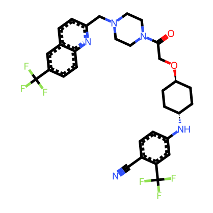 N#Cc1ccc(N[C@H]2CC[C@H](OCC(=O)N3CCN(Cc4ccc5cc(C(F)(F)F)ccc5n4)CC3)CC2)cc1C(F)(F)F